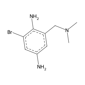 CN(C)Cc1cc(N)cc(Br)c1N